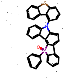 O=P1(c2ccccc2)c2ccccc2-c2ccc3c(c21)c1ccccc1n3-c1cccc2sc3ccccc3c12